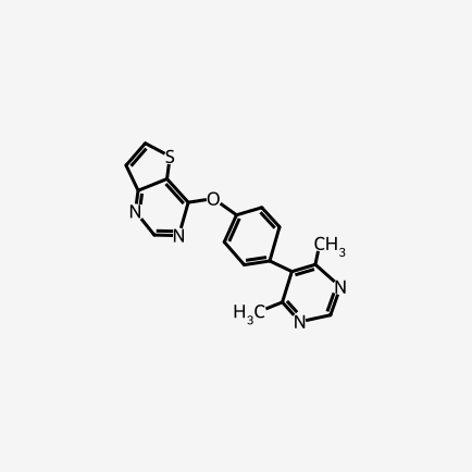 Cc1ncnc(C)c1-c1ccc(Oc2ncnc3ccsc23)cc1